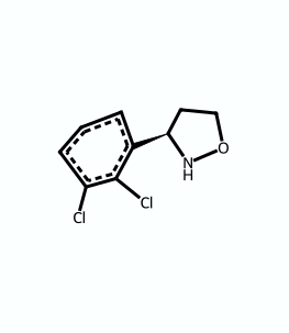 Clc1cccc([C@H]2CCON2)c1Cl